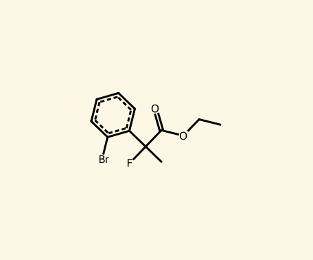 CCOC(=O)C(C)(F)c1ccccc1Br